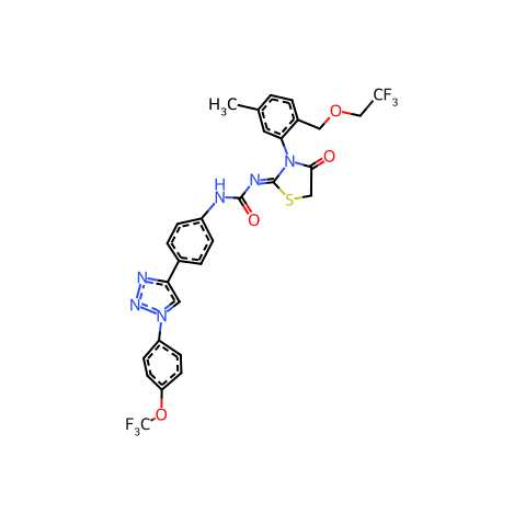 Cc1ccc(COCC(F)(F)F)c(N2C(=O)CS/C2=N\C(=O)Nc2ccc(-c3cn(-c4ccc(OC(F)(F)F)cc4)nn3)cc2)c1